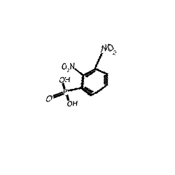 O=[N+]([O-])c1cccc(P(=O)(O)O)c1[N+](=O)[O-]